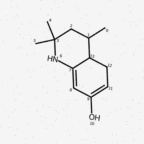 CC1CC(C)(C)NC2=CC(O)=CCC21